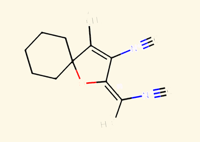 [C-]#[N+]C1=C(C)C2(CCCCC2)O/C1=C(\C)[N+]#[C-]